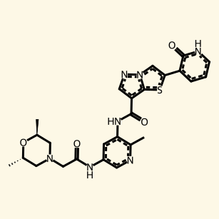 Cc1ncc(NC(=O)CN2C[C@H](C)O[C@@H](C)C2)cc1NC(=O)c1cnn2cc(-c3ccc[nH]c3=O)sc12